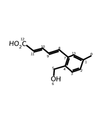 Cc1ccc(CO)c(/C=C/C=C/C(=O)O)c1